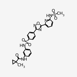 CC1(C(=O)Nc2cccc(NS(=O)(=O)c3ccc(-c4noc(-c5cccc(NS(C)(=O)=O)n5)n4)cc3)c2)CC1